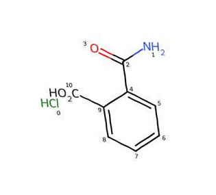 Cl.NC(=O)c1ccccc1C(=O)O